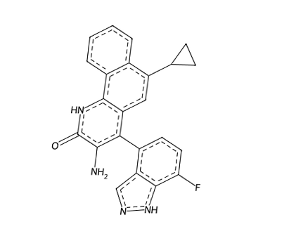 Nc1c(-c2ccc(F)c3[nH]ncc23)c2cc(C3CC3)c3ccccc3c2[nH]c1=O